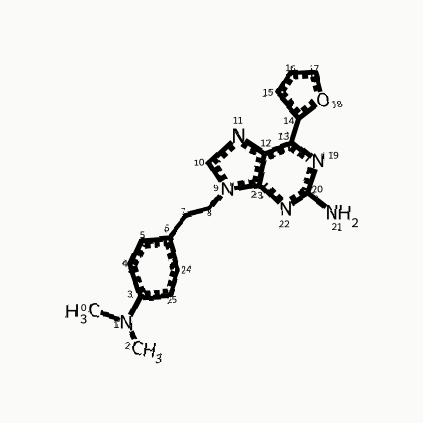 CN(C)c1ccc(CCn2cnc3c(-c4ccco4)nc(N)nc32)cc1